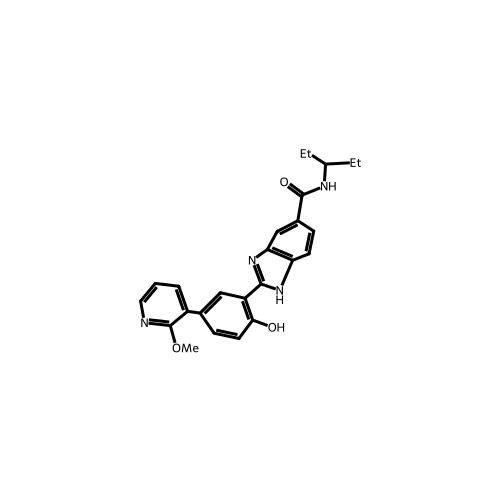 CCC(CC)NC(=O)c1ccc2[nH]c(-c3cc(-c4cccnc4OC)ccc3O)nc2c1